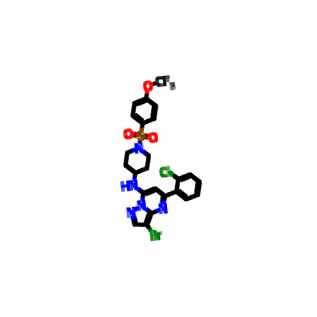 O=S(=O)(c1ccc(OC(F)(F)F)cc1)N1CCC(Nc2cc(-c3ccccc3Cl)nc3c(Br)cnn23)CC1